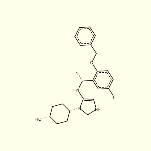 C[C@@H](NC1=CNCN1[C@H]1CC[C@@H](O)CC1)c1cc(F)ccc1OCc1ccccc1